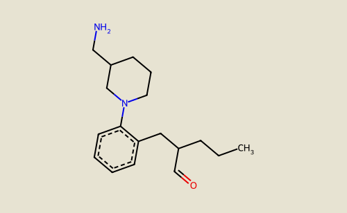 CCCC(C=O)Cc1ccccc1N1CCCC(CN)C1